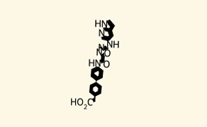 O=C(O)C[C@H]1CC[C@H](c2ccc(NC(=O)c3nnc(Nc4cnc5[nH]ccc5c4)o3)cc2)CC1